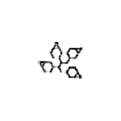 C1CC2OC2CC1CC(C1CCC2OC2C1)C(CC1CCC2OC2C1)C1CCC2OC2C1